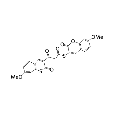 COc1ccc2cc(SC(=O)CC(=O)c3cc4ccc(OC)cc4sc3=O)c(=O)oc2c1